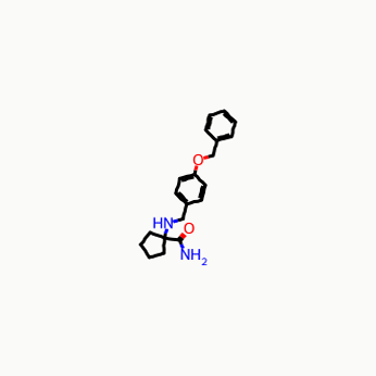 NC(=O)C1(NCc2ccc(OCc3ccccc3)cc2)CCCC1